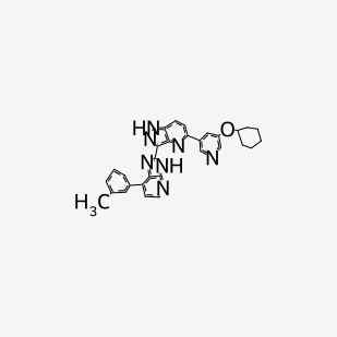 Cc1cccc(-c2ccnc3[nH]c(-c4n[nH]c5ccc(-c6cncc(OC7CCCCC7)c6)nc45)nc23)c1